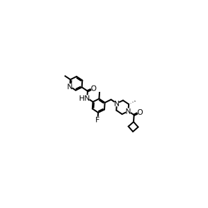 Cc1ccc(C(=O)Nc2cc(F)cc(CN3CCN(C(=O)C4CCC4)[C@@H](C)C3)c2C)cn1